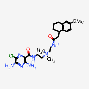 COc1ccc2c(c1)CCCC2CC(=O)NCC[N+](C)(C)CCNC(=O)c1nc(Cl)c(N)nc1N